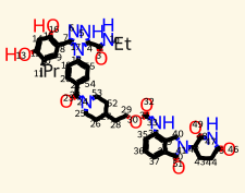 CCNC(=O)C1NN=C(c2cc(C(C)C)c(O)cc2O)N1c1ccc(C(=O)N2CCC(CCOC(=O)Nc3cccc4c3CN(C3CCC(=O)NC3=O)C4=O)CC2)cc1